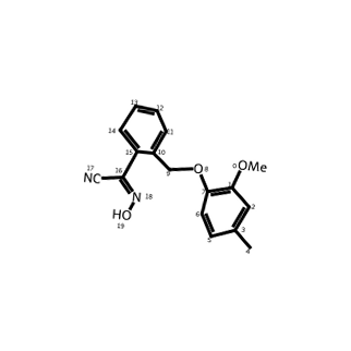 COc1cc(C)ccc1OCc1ccccc1C(C#N)=NO